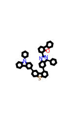 c1ccc(-c2nc(-c3cccc4c3oc3ccccc34)nc3ccc(-c4cccc5sc6ccc(-c7ccc8c(c7)c7ccccc7n8-c7ccccc7)cc6c45)cc23)cc1